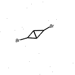 BrC1C2C(Br)C12